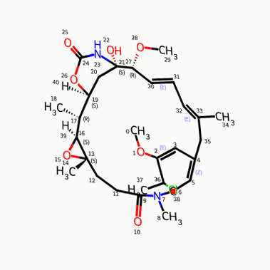 CO/C(=C/C1=C\CN(C)C(=O)CC[C@]2(C)O[C@H]2[C@H](C)[C@@H]2C[C@@](O)(NC(=O)O2)[C@H](OC)/C=C/C=C(\C)C1)C(C)Cl